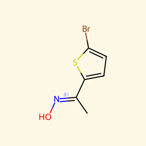 C/C(=N\O)c1ccc(Br)s1